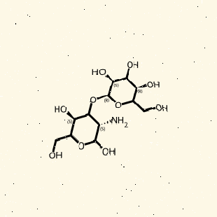 N[C@@H]1C(O)OC(CO)[C@@H](O)C1O[C@@H]1OC(CO)[C@H](O)C(O)[C@@H]1O